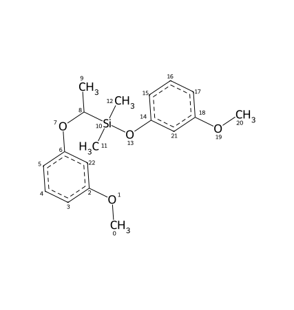 COc1cccc(OC(C)[Si](C)(C)Oc2cccc(OC)c2)c1